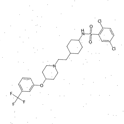 O=S(=O)(NC1CCC(CCN2CCC(Oc3cccc(C(F)(F)F)c3)CC2)CC1)c1cc(Cl)ccc1Cl